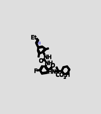 CC/C=C/c1cc(C)c(NC(=O)Nc2cc(F)ccc2C(=O)N[C@](C)(C(=O)O)C2CCCCC2)c(C)c1